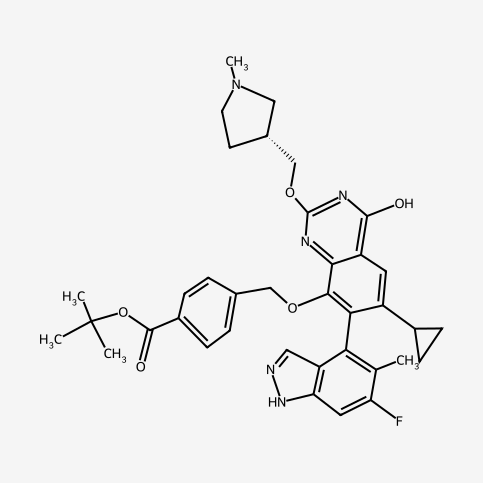 Cc1c(F)cc2[nH]ncc2c1-c1c(C2CC2)cc2c(O)nc(OC[C@@H]3CCN(C)C3)nc2c1OCc1ccc(C(=O)OC(C)(C)C)cc1